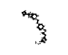 Cc1ncc(CC(=O)N[C@H]2CC[C@H](CCN3CCc4sc(C5CCC5)nc4C3)CC2)s1